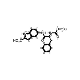 CC(C)(C)OC(=O)N[C@@H](Cc1ccccc1)C(=O)Nc1ccc2[nH]c(C(=O)O)cc2c1